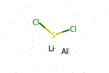 ClSCl.[Al].[Li]